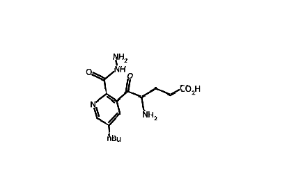 CCCCc1cnc(C(=O)NN)c(C(=O)C(N)CCC(=O)O)c1